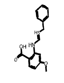 COc1ccc(C(=O)O)c(NC=[SH]Cc2ccccc2)c1